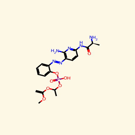 C=C(OC)OC(C)OP(=O)(O)Oc1ccccc1/N=N/c1ccc(NC(=O)[C@H](C)N)nc1N